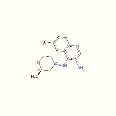 Cc1ccc2ncc(N)c(N[C@@H]3CCO[C@H](C)C3)c2c1